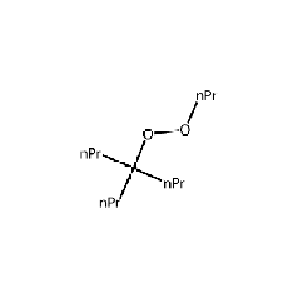 CCCOOC(CCC)(CCC)CCC